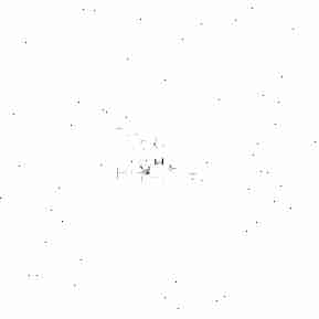 CCCCCC(=O)OC(C)CC(OC(=O)CCCCC)OP(=O)(O)O